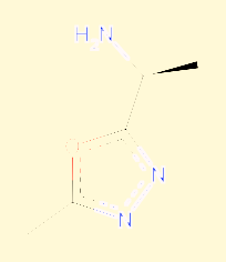 Cc1nnc([C@H](C)N)o1